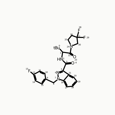 CC(C)(C)C(NC(=O)c1nn(Cc2ccc(F)cc2)c2ccccc12)C(=O)N1CCC(F)(F)C1